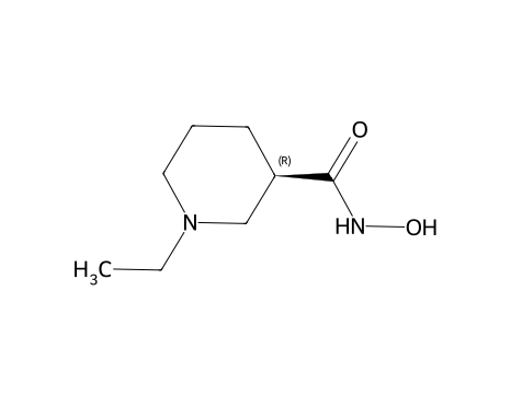 CCN1CCC[C@@H](C(=O)NO)C1